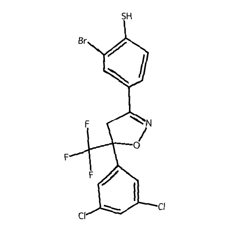 FC(F)(F)C1(c2cc(Cl)cc(Cl)c2)CC(c2ccc(S)c(Br)c2)=NO1